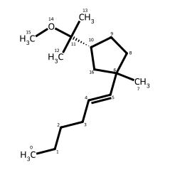 CCCCC=CC1(C)CC[C@@H](C(C)(C)OC)C1